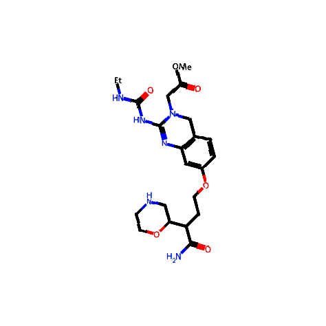 CCNC(=O)NC1=Nc2cc(OCCC(C(N)=O)C3CNCCO3)ccc2CN1CC(=O)OC